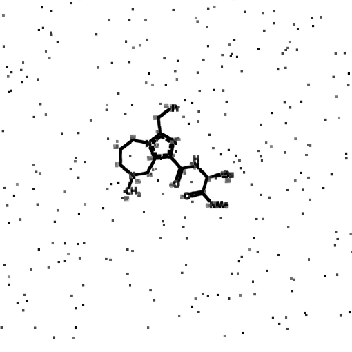 CNC(=O)[C@@H](NC(=O)c1nc(CC(C)C)n2c1CN(C)CCC2)C(C)(C)C